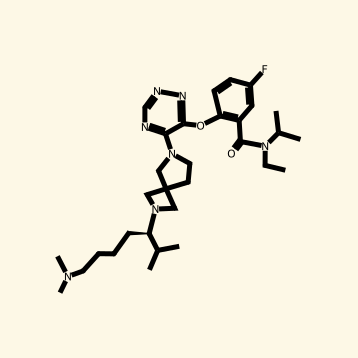 CCN(C(=O)c1cc(F)ccc1Oc1nncnc1N1CCC2(C1)CN([C@H](CCCCN(C)C)C(C)C)C2)C(C)C